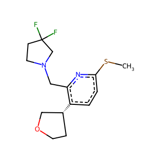 CSc1ccc([C@@H]2CCOC2)c(CN2CCC(F)(F)C2)n1